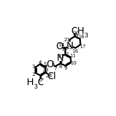 Cc1cccc(OCc2cccc(C(=O)N3CCCC(C)C3)n2)c1Cl